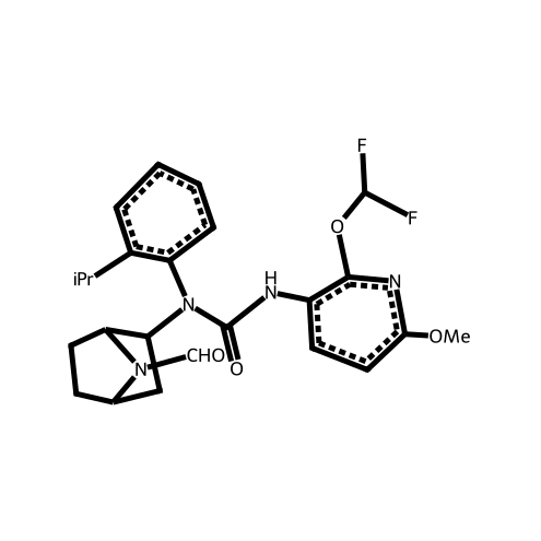 COc1ccc(NC(=O)N(c2ccccc2C(C)C)C2CC3CCC2N3C=O)c(OC(F)F)n1